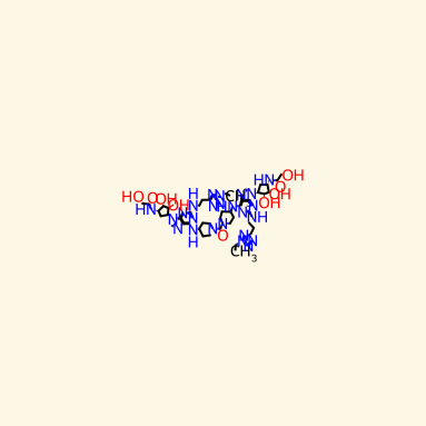 CCn1nnc(CCNc2nc(NC3CCN(C(=O)N4CCC(Nc5nc(NCCc6nnn(CC)n6)nc6c5ncn6[C@@H]5C[C@H](NC(=O)CO)[C@@H](O)[C@H]5O)CC4)CC3)c3ncn([C@@H]4C[C@H](NC(=O)CO)[C@@H](O)[C@H]4O)c3n2)n1